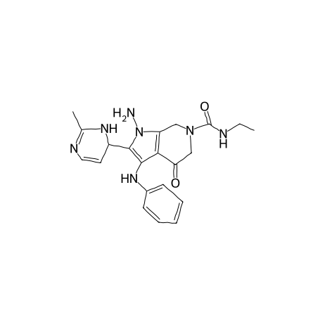 CCNC(=O)N1CC(=O)c2c(Nc3ccccc3)c(C3C=CN=C(C)N3)n(N)c2C1